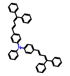 C(=Cc1ccc(N(c2ccccc2)c2ccc(C=CC=C(c3ccccc3)c3ccccc3)cc2)cc1)C=C(c1ccccc1)c1ccccc1